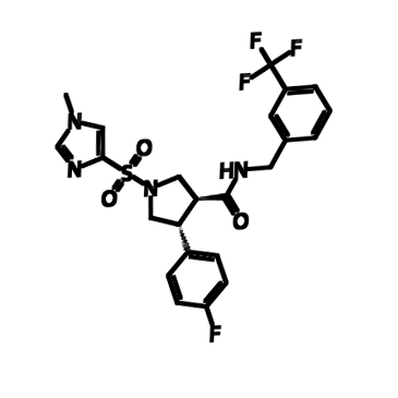 Cn1cnc(S(=O)(=O)N2C[C@@H](C(=O)NCc3cccc(C(F)(F)F)c3)[C@H](c3ccc(F)cc3)C2)c1